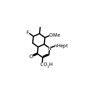 CCCCCCCN1C=C(C(=O)O)C(=O)C2CC(F)C(C)C(OC)C21